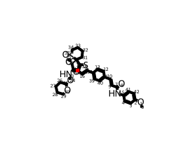 COc1ccc(NC(=O)C=Cc2ccc(-c3ccc([C@@]4(CC(=O)NOC5CCCCO5)CCCCS4(=O)=O)s3)cc2)cc1